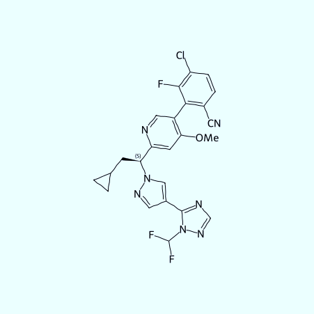 COc1cc([C@H](CC2CC2)n2cc(-c3ncnn3C(F)F)cn2)ncc1-c1c(C#N)ccc(Cl)c1F